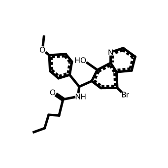 CCCCC(=O)NC(c1ccc(OC)cc1)c1cc(Br)c2cccnc2c1O